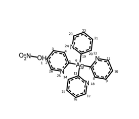 O=[N+]([O-])O.c1cc[c]([Ag]([c]2ccccn2)([c]2ccccn2)[c]2ccccn2)nc1